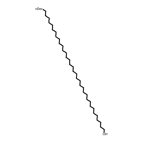 CCCCCCCCCCCCCCCCCCCCCCCCCCCCCCCCCCCCCCCCCCCCCO